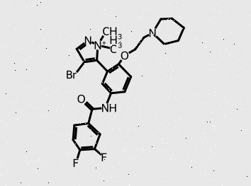 C[N+]1(C)N=CC(Br)=C1c1cc(NC(=O)c2ccc(F)c(F)c2)ccc1OCCN1CCCCC1